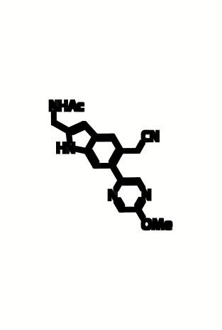 COc1cnc(-c2cc3[nH]c(CNC(C)=O)cc3cc2CC#N)cn1